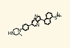 C[C@H]1CNCCN1c1ccc(-c2cnc3c(-c4cccc5c(SN(C)C)cccc45)cnn3c2)cc1